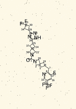 O=C(N1CC2(CC(Cc3ncc(C(F)(F)F)cc3F)C2)C1)N1CC2(CC(c3nc(C4CC(F)(F)C4)n[nH]3)C2)C1